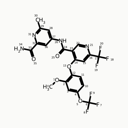 COc1cc(OC(F)(F)F)ccc1Oc1cc(C(F)(F)F)ncc1C(=O)Nc1cc(C)nc(C(N)=O)c1